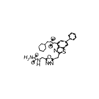 NS(=O)(=O)NCc1nnc(Cc2nc3c(S(=O)(=O)CC4CCCCC4)cc(-c4ccccc4)cc3s2)o1